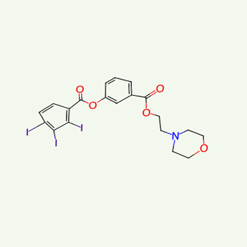 O=C(OCCN1CCOCC1)c1cccc(OC(=O)c2ccc(I)c(I)c2I)c1